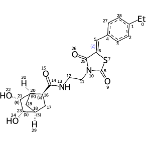 CCc1ccc(/C=C2\SC(=O)N(CCNC(=O)[C@H]3C[C@@H]4C[C@H]3[C@@H](O)[C@H]4O)C2=O)cc1